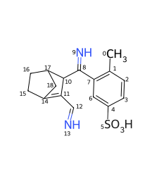 Cc1ccc(S(=O)(=O)O)cc1C(=N)C1C(C=N)=C2CCC1C2